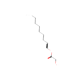 CCCCCCCCCCCCCCC=COC(=O)CO